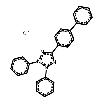 [Cl-].c1ccc(-c2ccc(-c3nn(-c4ccccc4)[n+](-c4ccccc4)n3)cc2)cc1